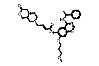 COCCCOc1cc2ncnc(NC(C)c3ccccc3)c2cc1NC(=O)/C=C/CN1CCN2CC(=O)OCC2C1